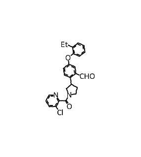 CCc1ccccc1Oc1ccc(C2CCN(C(=O)c3ncccc3Cl)C2)c(C=O)c1